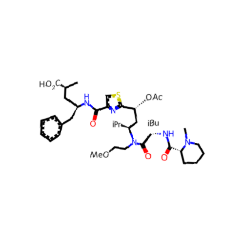 CC[C@H](C)[C@H](NC(=O)[C@H]1CCCCN1C)C(=O)N(CCOC)[C@H](C[C@@H](OC(C)=O)c1nc(C(=O)N[C@@H](Cc2ccccc2)C[C@H](C)C(=O)O)cs1)C(C)C